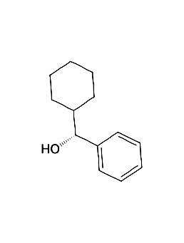 O[C@@H](c1ccccc1)C1CCCCC1